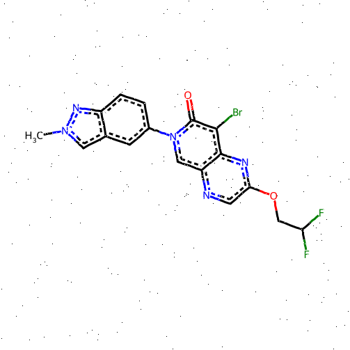 Cn1cc2cc(-n3cc4ncc(OCC(F)F)nc4c(Br)c3=O)ccc2n1